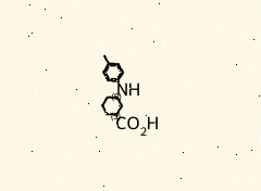 Cc1ccc(N[C@H]2CCC[C@H](C(=O)O)C2)cc1